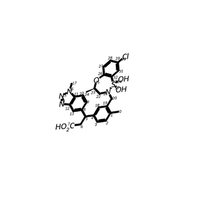 Cc1ccc(C(CC(=O)O)c2ccc3c(c2)nnn3C)cc1CN1C[C@@H](C)Oc2ccc(Cl)cc2S1(O)O